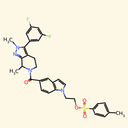 Cc1ccc(S(=O)(=O)OCCn2ccc3cc(C(=O)N4CCc5c(nn(C)c5-c5cc(F)cc(F)c5)C4C)ccc32)cc1